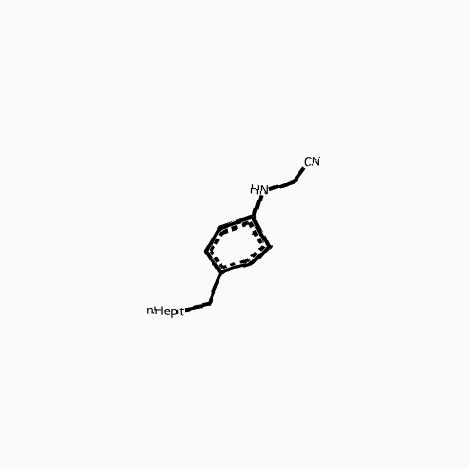 CCCCCCCCc1ccc(NCC#N)cc1